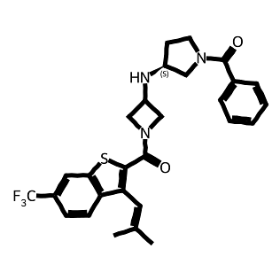 CC(C)=Cc1c(C(=O)N2CC(N[C@H]3CCN(C(=O)c4ccccc4)C3)C2)sc2cc(C(F)(F)F)ccc12